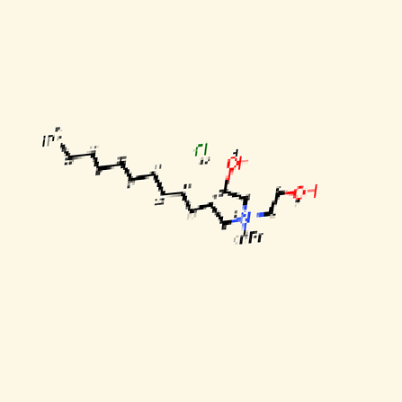 CCC[N+](CCO)(CCO)CCCCCCCCCCCC(C)C.[Cl-]